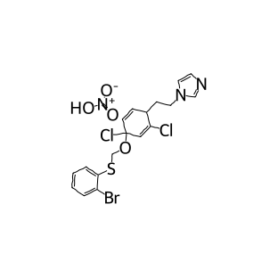 ClC1=CC(Cl)(OCSc2ccccc2Br)C=CC1CCn1ccnc1.O=[N+]([O-])O